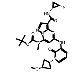 CO[C@H]1C[C@H](n2cccc(Nc3cc(N(C)C(=O)OC(C)(C)C)n4ncc(C(=O)N[C@@H]5C[C@@H]5F)c4n3)c2=O)C1